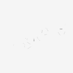 Nc1c(-c2cc(Cc3ccc(OCc4cccc(Cl)c4)nc3)no2)ccc[n+]1COP(=O)(O)O